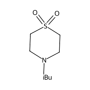 CCC(C)N1CCS(=O)(=O)CC1